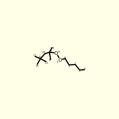 CCCCCOOC(C)(C)CC(C)(C)C